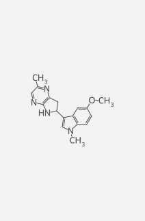 COc1ccc2c(c1)c(C1Cc3nc(C)cnc3N1)cn2C